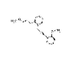 CO/C=C/Cc1ccccc1CC#Cc1ccccc1OC